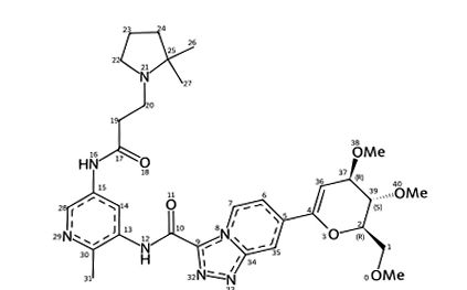 COC[C@H]1OC(c2ccn3c(C(=O)Nc4cc(NC(=O)CCN5CCCC5(C)C)cnc4C)nnc3c2)=C[C@@H](OC)[C@@H]1OC